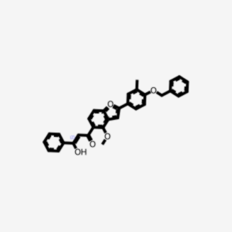 COc1c(C(=O)/C=C(\O)c2ccccc2)ccc2oc(-c3ccc(OCc4ccccc4)c(C)c3)cc12